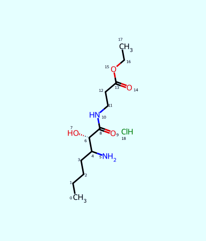 CCCCC(N)[C@H](O)C(=O)NCCC(=O)OCC.Cl